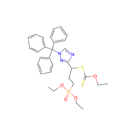 CCOC(=S)SC(CCP(=O)(OCC)OCC)c1ncn(C(c2ccccc2)(c2ccccc2)c2ccccc2)n1